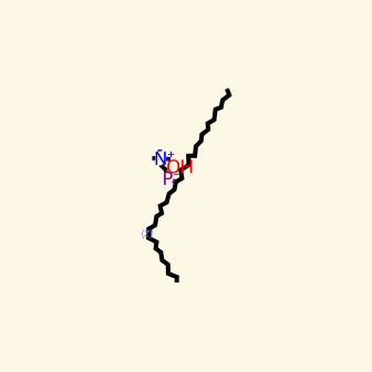 CCCCCCCC/C=C\CCCCCCCC(CCCCCCCCCCCCCCCC)[P-]C(O)C[N+](C)(C)C